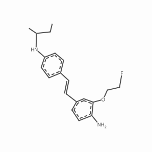 CCC(C)Nc1ccc(/C=C/c2ccc(N)c(OCCF)c2)cc1